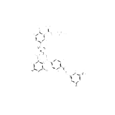 COC(=O)c1cc(S(=O)(=O)N(CCc2ccc(OCc3cc(F)cc(F)c3)cc2)Cc2cc(F)cc(F)c2)ccc1C